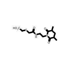 CC1CC(C)C(=O)N(CCNC(=O)CSCC(=O)O)C1=O